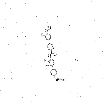 CCCCCc1ccc(-c2ccc(OC(=O)c3ccc(-c4ccc(OCC)c(F)c4)cc3)c(F)c2F)cc1